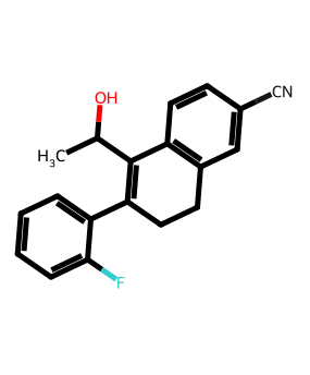 CC(O)C1=C(c2ccccc2F)CCc2cc(C#N)ccc21